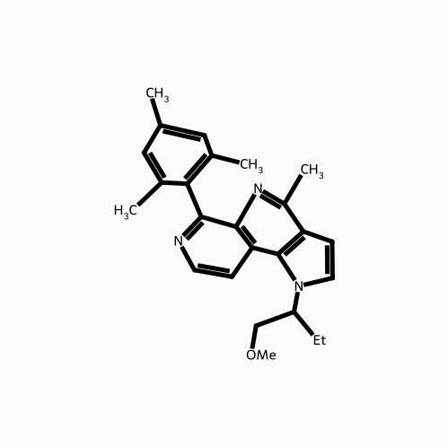 CCC(COC)n1ccc2c(C)nc3c(-c4c(C)cc(C)cc4C)nccc3c21